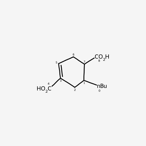 CCCCC1CC(C(=O)O)=CCC1C(=O)O